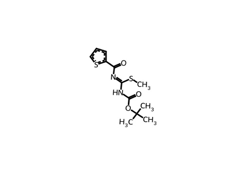 CS/C(=N\C(=O)c1cccs1)NC(=O)OC(C)(C)C